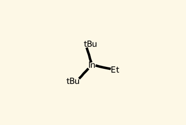 C[CH2][In]([C](C)(C)C)[C](C)(C)C